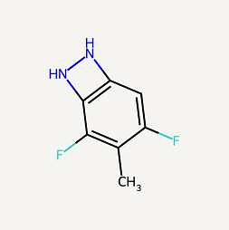 Cc1c(F)cc2[nH][nH]c2c1F